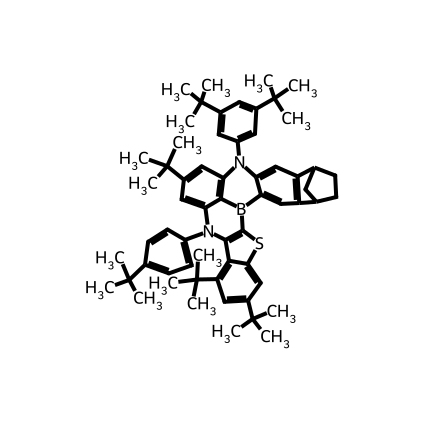 CC(C)(C)c1ccc(N2c3cc(C(C)(C)C)cc4c3B(c3cc5c(cc3N4c3cc(C(C)(C)C)cc(C(C)(C)C)c3)C3CCC5C3)c3sc4cc(C(C)(C)C)cc(C(C)(C)C)c4c32)cc1